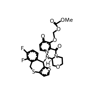 COC(=O)OCOc1c2n(ccc1=O)N([C@@H]1c3ccc(F)c(F)c3CSc3ccsc31)[C@@H]1COCCN1C2=O